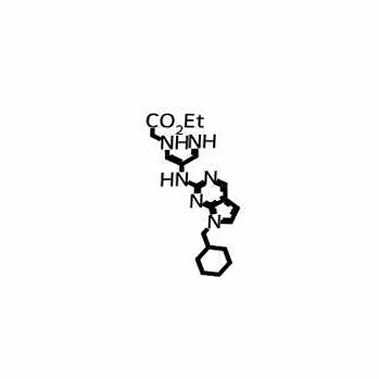 CCOC(=O)CN/C=C(\C=N)Nc1ncc2ccn(CC3CCCCC3)c2n1